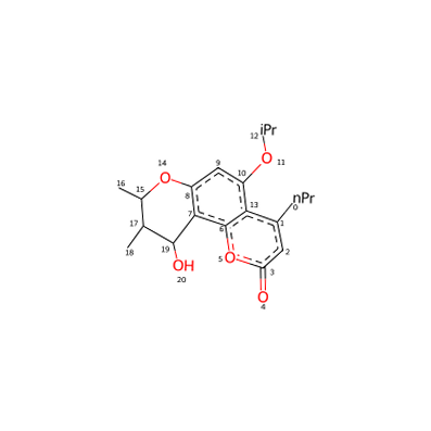 CCCc1cc(=O)oc2c3c(cc(OC(C)C)c12)OC(C)C(C)C3O